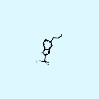 O=C(O)c1cc2cc(CCF)ccc2[nH]1